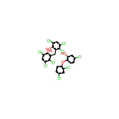 Oc1c(Cl)cc(Cl)c(Cl)c1Cc1c(O)c(Cl)cc(Cl)c1Cl.Oc1cc(Cl)ccc1Oc1ccc(Cl)cc1Cl